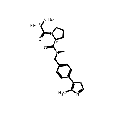 CC[C@H](NC(C)=O)C(=O)N1CCC[C@H]1C(=O)N(I)Cc1ccc(-c2scnc2C)cc1